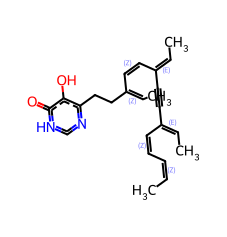 C\C=C/C=C\C(C#CC(/C=C\C(=C/C)CCc1nc[nH]c(=O)c1O)=C/C)=C/C